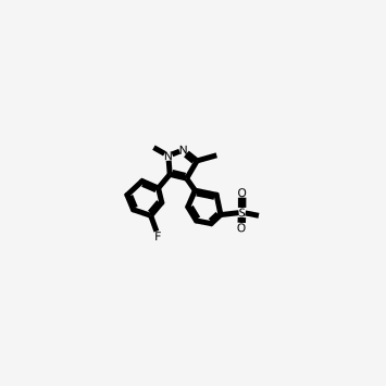 Cc1nn(C)c(-c2cccc(F)c2)c1-c1cccc(S(C)(=O)=O)c1